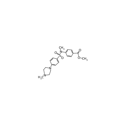 COC(=O)c1ccc(N(C)S(=O)(=O)c2ccc(N3CCN(C)CC3)cc2)cc1